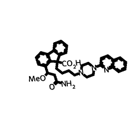 COC(CC(N)=O)c1cccc2c1C(CCCCN1CCN(c3ccc4ccccc4n3)CC1)(C(=O)O)c1ccccc1-2